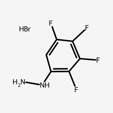 Br.NNc1cc(F)c(F)c(F)c1F